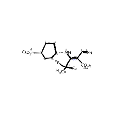 CCOC(=O)[C@H]1CC[C@H](N/C(=C(\C=N)C(=O)O)C(C)(F)F)CC1